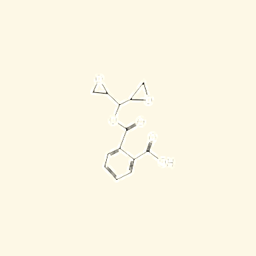 O=C(O)c1ccccc1C(=O)OC(C1CO1)C1CO1